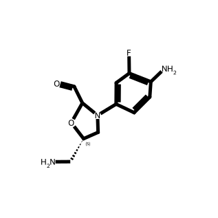 NC[C@H]1CN(c2ccc(N)c(F)c2)C(C=O)O1